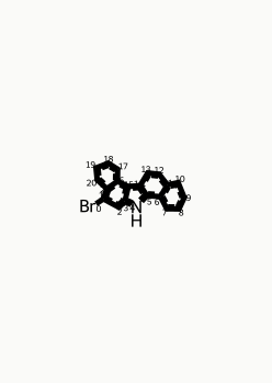 Brc1cc2[nH]c3c4ccccc4ccc3c2c2ccccc12